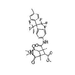 CNC(=O)C1(C)C(C(=O)OC)C(C)(C(=O)Nc2ccc(C(c3ccc(C)cc3)(C(F)(F)F)C(F)(F)F)cc2)C1C(=O)OC